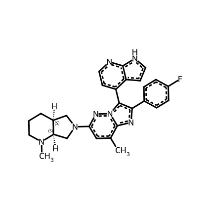 Cc1cc(N2C[C@@H]3CCCN(C)[C@@H]3C2)nn2c(-c3ccnc4[nH]ccc34)c(-c3ccc(F)cc3)nc12